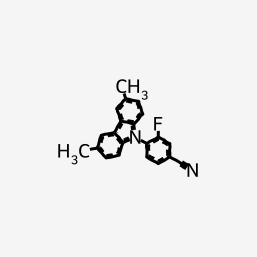 Cc1ccc2c(c1)c1cc(C)ccc1n2-c1ccc(C#N)cc1F